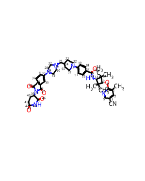 Cc1cc(C#N)cnc1O[C@H]1C(C)(C)[C@H](NC(=O)c2ccc(N3CCC(CN4CCN(c5ccc6c(c5)C(=O)N(C5CCC(=O)NC5=O)C6=O)CC4)CC3)cc2)C1(C)C